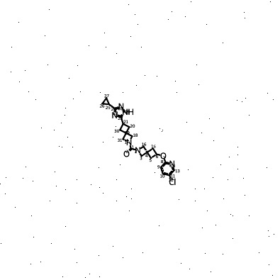 O=C(N1CC2(CC(Oc3ccc(Cl)cn3)C2)C1)N1CC2(CC(c3nc(C4CC4)n[nH]3)C2)C1